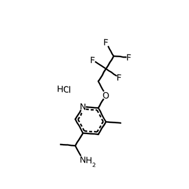 Cc1cc(C(C)N)cnc1OCC(F)(F)C(F)F.Cl